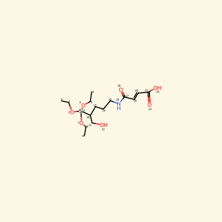 CCO[Si](OCC)(OCC)C(CO)CCCNC(=O)C=CC(=O)O